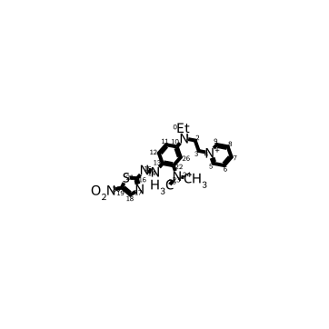 CCN(CC[n+]1ccccc1)c1ccc(N=Nc2ncc([N+](=O)[O-])s2)c(N(C)C)c1